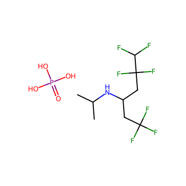 CC(C)NC(CC(F)(F)F)CC(F)(F)C(F)F.O=P(O)(O)O